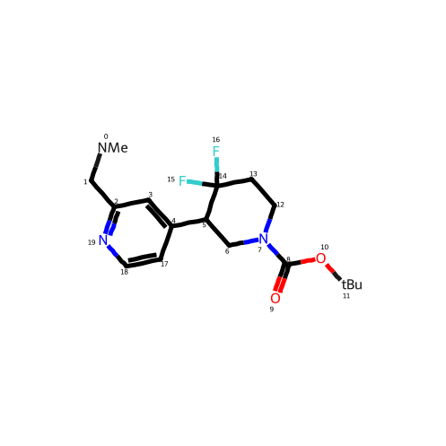 CNCc1cc(C2CN(C(=O)OC(C)(C)C)CCC2(F)F)ccn1